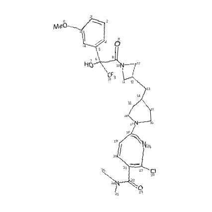 COc1cccc(C(O)(C(=O)N2CC(CC3CCN(c4ccc(C(=O)N(C)C)c(Cl)n4)CC3)C2)C(F)(F)F)c1